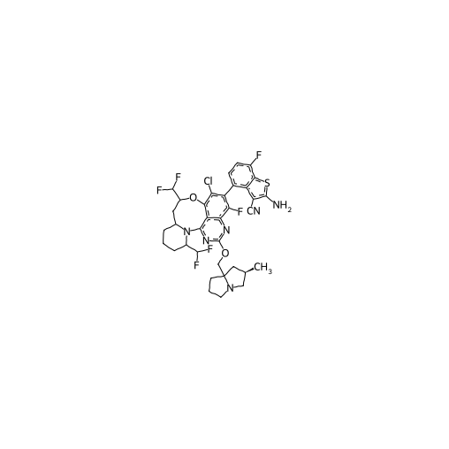 C[C@H]1CN2CCCC2(COc2nc3c4c(c(Cl)c(-c5ccc(F)c6sc(N)c(C#N)c56)c(F)c4n2)OC(C(F)F)CC2CCCC(C(F)F)N32)C1